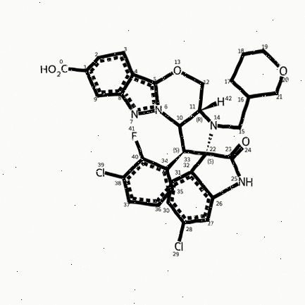 O=C(O)c1ccc2c3n(nc2c1)C1[C@H](CO3)N(CC2CCCOC2)[C@@]2(C(=O)Nc3cc(Cl)ccc32)[C@H]1c1cccc(Cl)c1F